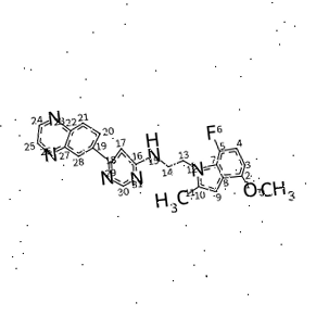 COc1ccc(F)c2c1cc(C)n2CCNc1cc(-c2ccc3nccnc3c2)ncn1